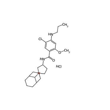 CCCNc1cc(OC)c(C(=O)NC2CCN(C3C4CCCC3CCC4)C2)cc1Cl.Cl